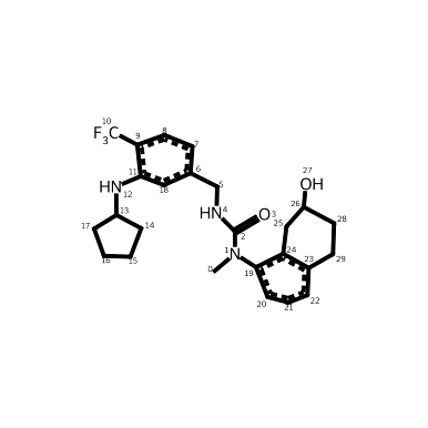 CN(C(=O)NCc1ccc(C(F)(F)F)c(NC2CCCC2)c1)c1cccc2c1CC(O)CC2